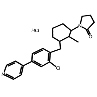 CC1C(Cc2ccc(-c3ccncc3)cc2Cl)CCCC1N1CCCC1=O.Cl